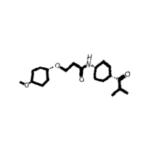 CO[C@H]1CC[C@H](OCCC(=O)N[C@H]2CC[C@@H](C(=O)C(C)C)CC2)CC1